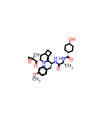 COc1ccc(C[C@H](NC(=O)[C@@H](C)NC(=O)[C@H]2CC[C@H](O)CC2)C2=C3CCC3C[C@@H](C(=O)[C@@]3(C)CO3)N2)cc1